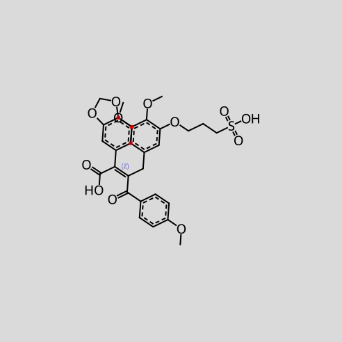 COc1ccc(C(=O)/C(Cc2cc(OC)c(OC)c(OCCCS(=O)(=O)O)c2)=C(\C(=O)O)c2ccc3c(c2)OCO3)cc1